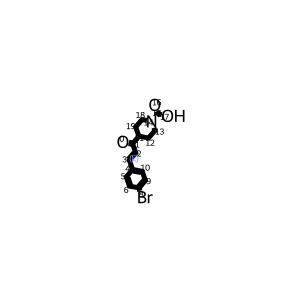 O=C(/C=C/c1ccc(Br)cc1)C1CCN(C(=O)O)CC1